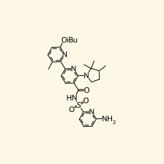 Cc1ccc(OCC(C)C)nc1-c1ccc(C(=O)NS(=O)(=O)c2cccc(N)n2)c(N2CCC(C)C2(C)C)n1